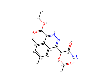 CCOC(=O)c1nnc(C(OC(C)=O)C(N)=O)c2cc(C)cc(C)c12